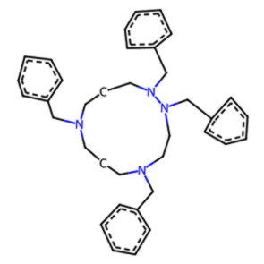 c1ccc(CN2CCCN(Cc3ccccc3)CCN(Cc3ccccc3)N(Cc3ccccc3)CCC2)cc1